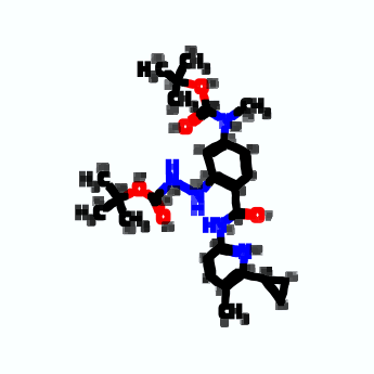 Cc1ccc(NC(=O)c2ccc(N(C)C(=O)OC(C)(C)C)cc2NNC(=O)OC(C)(C)C)nc1C1CC1